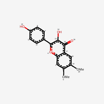 COc1cc2oc(-c3ccc(O)cc3)c(O)c(=O)c2cc1OC